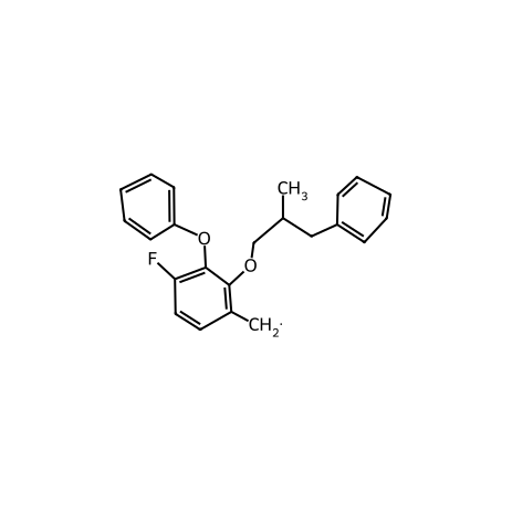 [CH2]c1ccc(F)c(Oc2ccccc2)c1OCC(C)Cc1ccccc1